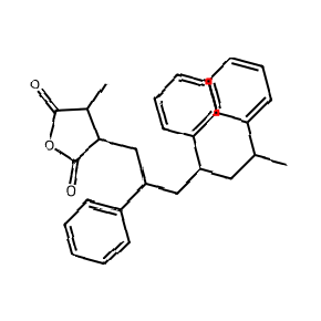 CC(CC(CC(CC1C(=O)OC(=O)C1C)c1ccccc1)c1ccccc1)c1ccccc1